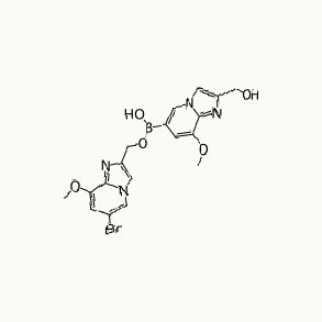 COc1cc(B(O)OCc2cn3cc(Br)cc(OC)c3n2)cn2cc(CO)nc12